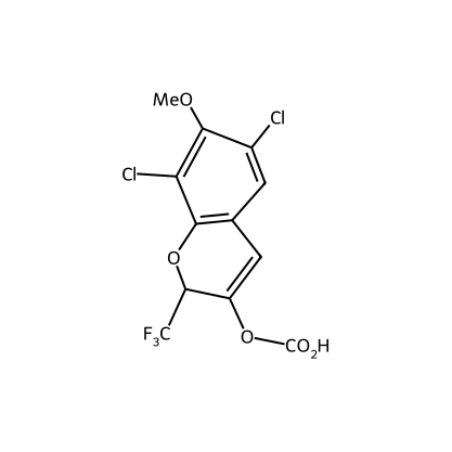 COc1c(Cl)cc2c(c1Cl)OC(C(F)(F)F)C(OC(=O)O)=C2